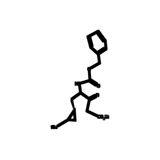 CCOC(=O)CC(=O)C(C[C@@H]1CC1C(C)(C)C)NC(=O)OCc1ccccc1